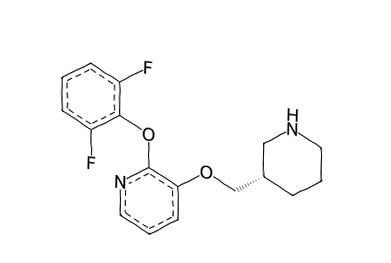 Fc1cccc(F)c1Oc1ncccc1OC[C@H]1CCCNC1